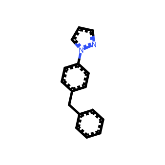 [c]1ccccc1Cc1ccc(-n2cccn2)cc1